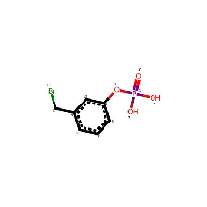 O=P(O)(O)Oc1cccc(CBr)c1